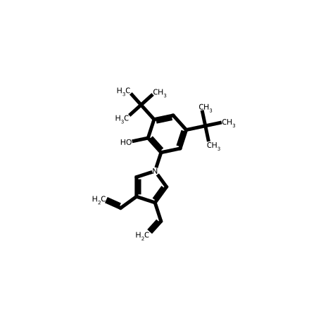 C=Cc1cn(-c2cc(C(C)(C)C)cc(C(C)(C)C)c2O)cc1C=C